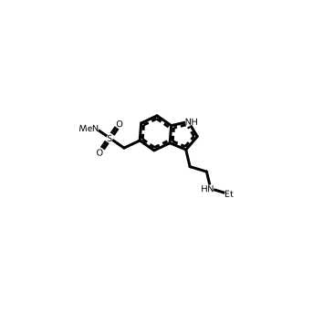 CCNCCc1c[nH]c2ccc(CS(=O)(=O)NC)cc12